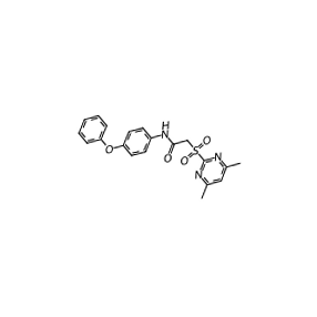 Cc1cc(C)nc(S(=O)(=O)CC(=O)Nc2ccc(Oc3ccccc3)cc2)n1